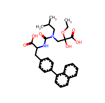 CCOC(O)(CN(CC(C)C)C(=O)NC(Cc1ccc(-c2cccc3ccccc23)cc1)C(=O)O)C(=O)O